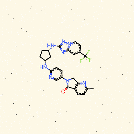 Cc1ccc2c(n1)CN(c1ccc(N[C@H]3CC[C@H](Nc4nc5cc(C(F)(F)F)ccn5n4)C3)nc1)C2=O